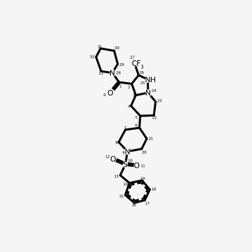 O=C(C1C2CC(C3CCN(S(=O)(=O)Cc4ccccc4)CC3)CCN2NC1C(F)(F)F)N1CCCCC1